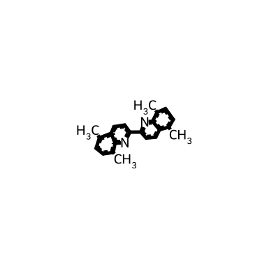 Cc1ccc(C)c2nc(-c3ccc4c(C)ccc(C)c4n3)ccc12